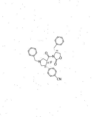 N#Cc1ccc([C@@H]2CN(Cc3ccccc3)C[C@@]2(F)C(=O)N2C(=O)OC[C@H]2Cc2ccccc2)cc1